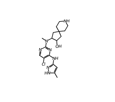 Cc1cc(Nc2nc(N(C)C3CC4(CCNCC4)CC3O)ncc2Cl)n[nH]1